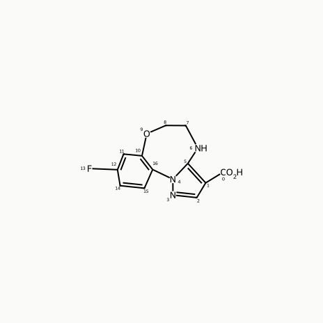 O=C(O)c1cnn2c1NCCOc1cc(F)ccc1-2